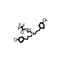 COc1ccc(CCCN(CCCc2ccc(OC)cc2)CCNC(=O)C(F)(F)F)cc1